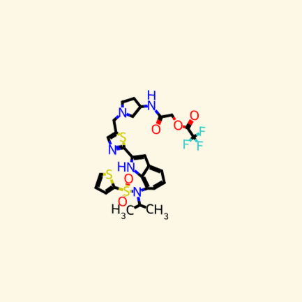 CC(C)N(c1cccc2cc(-c3ncc(CN4CCC(NC(=O)COC(=O)C(F)(F)F)C4)s3)[nH]c12)S(=O)(=O)c1cccs1